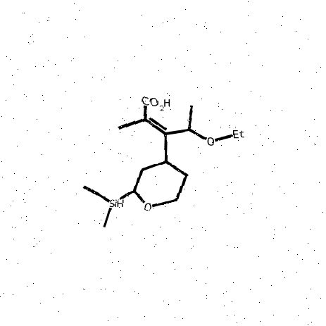 CCOC(C)C(=C(C)C(=O)O)C1CCOC([SiH](C)C)C1